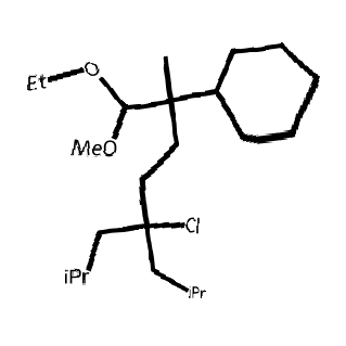 CCOC(OC)C(C)(CCC(Cl)(CC(C)C)CC(C)C)C1CCCCC1